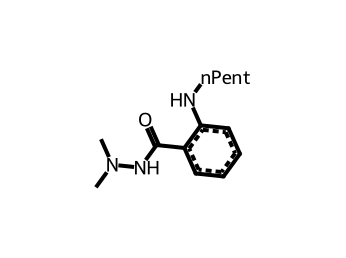 CCCCCNc1ccccc1C(=O)NN(C)C